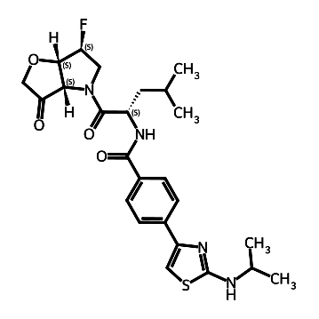 CC(C)C[C@H](NC(=O)c1ccc(-c2csc(NC(C)C)n2)cc1)C(=O)N1C[C@H](F)[C@H]2OCC(=O)[C@H]21